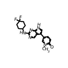 Cn1cc(-c2c[nH]c3nc(NC4CCC(F)(F)CC4)ncc23)ccc1=O